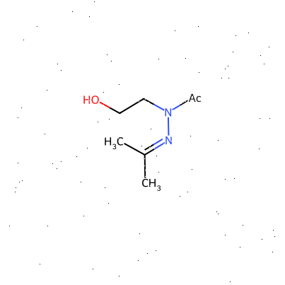 CC(=O)N(CCO)N=C(C)C